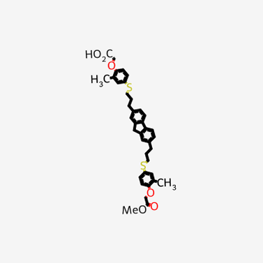 COC(=O)COc1ccc(SCCCc2ccc3c(c2)Cc2cc(CCCSc4ccc(OCC(=O)O)c(C)c4)ccc2-3)cc1C